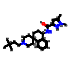 Cc1cc(C(=O)N[C@H]2CCC3(CCN(CCC(C)(C)C)CC3)c3ccccc32)nn1C